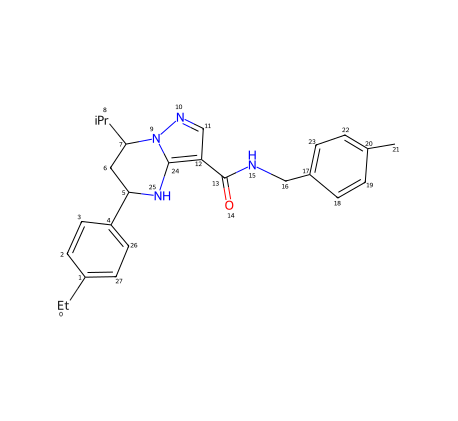 CCc1ccc(C2CC(C(C)C)n3ncc(C(=O)NCc4ccc(C)cc4)c3N2)cc1